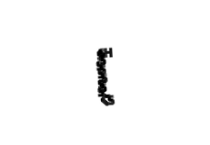 SSSSSSSSSSc1ccsc1